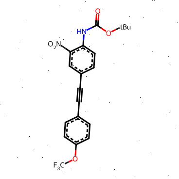 CC(C)(C)OC(=O)Nc1ccc(C#Cc2ccc(OC(F)(F)F)cc2)cc1[N+](=O)[O-]